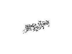 CCC1(COc2cc(F)c(C(=O)N3CCC[C@H]3C(=O)OC(C)(C)C)cc2C(C)C)CC2CCCC(C2)C1